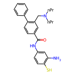 CCCN(CCC)Cc1cc(C(=O)Nc2ccc(S)c(N)c2)ccc1-c1ccccc1